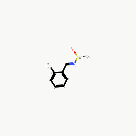 CC(C)(C)[S@@+]([O-])N=Cc1ccccc1C(F)(F)F